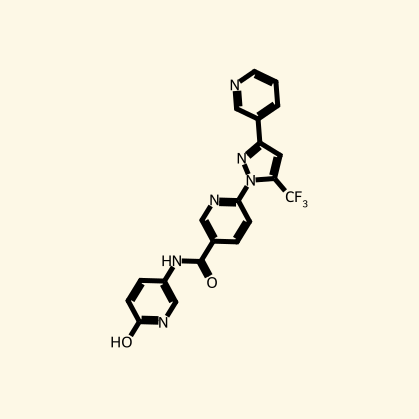 O=C(Nc1ccc(O)nc1)c1ccc(-n2nc(-c3cccnc3)cc2C(F)(F)F)nc1